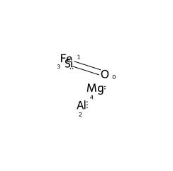 O=[Si].[Al].[Fe].[Mg]